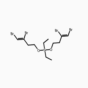 CC[Si](CC)(OCCC(Br)=CBr)OCCC(Br)=CBr